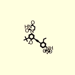 CCc1cc(NS(C)(=O)=O)ccc1C#Cc1cc(N2CCC(=O)NC2=O)cc(C(C)(C)C)c1OC